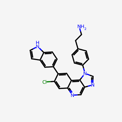 NCCc1ccc(-n2cnc3cnc4cc(Cl)c(-c5ccc6[nH]ccc6c5)cc4c32)cc1